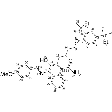 CCC(C)(C)c1ccc(OCCCCc2c(O)c(N=Nc3ccc(OC)cc3)c3ccccc3c2C(N)=O)c(C(C)(C)CC)c1